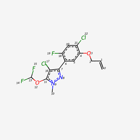 C=CCOc1cc(-c2nn(C)c(OC(F)F)c2Cl)c(F)cc1Cl